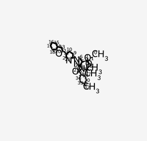 CCOC(=O)c1cn(-c2ccc(-c3cc4ccccc4o3)cn2)nc1N(C(=O)C1CCC(C)CC1)C(C)C